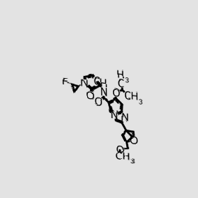 COCC12CC(c3cn4cc(C(=O)Nc5cccn([C@@H]6C[C@@H]6F)c5=O)c(OC(C)C)cc4n3)(CO1)C2